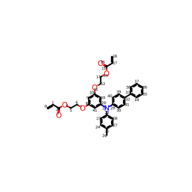 C=CC(=O)OCCOc1cc(OCCOC(=O)C=C)cc(N(c2ccc(C)cc2)c2ccc(-c3ccccc3)cc2)c1